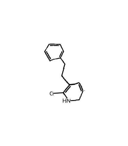 ClC1=C(CCc2ccccc2)C=[C]CN1